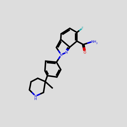 CC1(c2ccc(-n3cc4ccc(F)c(C(N)=O)c4n3)cc2)CCCNC1